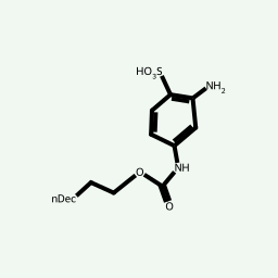 CCCCCCCCCCCCOC(=O)Nc1ccc(S(=O)(=O)O)c(N)c1